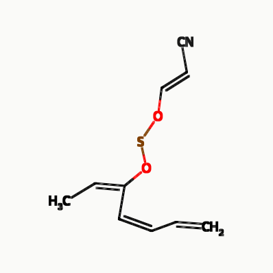 C=C/C=C\C(=C/C)OSO/C=C/C#N